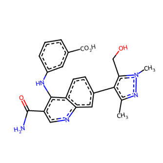 Cc1nn(C)c(CO)c1-c1ccc2c(Nc3cccc(C(=O)O)c3)c(C(N)=O)cnc2c1